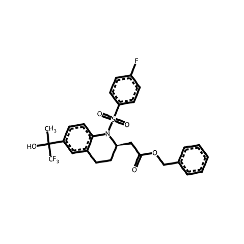 CC(O)(c1ccc2c(c1)CC[C@H](CC(=O)OCc1ccccc1)N2S(=O)(=O)c1ccc(F)cc1)C(F)(F)F